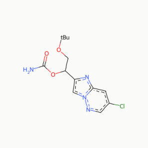 CC(C)(C)OCC(OC(N)=O)c1cn2ncc(Cl)cc2n1